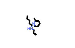 C=CCNCCCCC.Cc1ccccn1